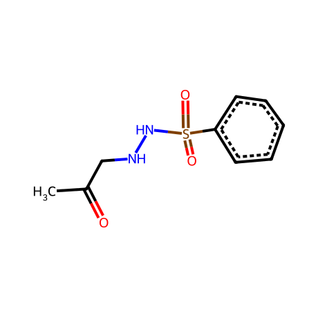 CC(=O)CNNS(=O)(=O)c1ccccc1